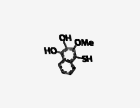 COc1c(O)c(O)c2ccccc2c1S